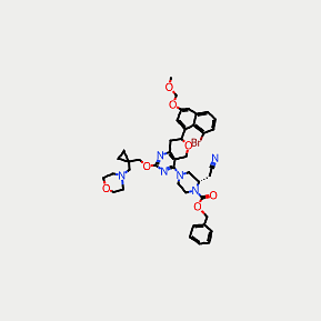 COCOc1cc(C2Cc3nc(OCC4(CN5CCOCC5)CC4)nc(N4CCN(C(=O)OCc5ccccc5)[C@@H](CC#N)C4)c3CO2)c2c(Br)cccc2c1